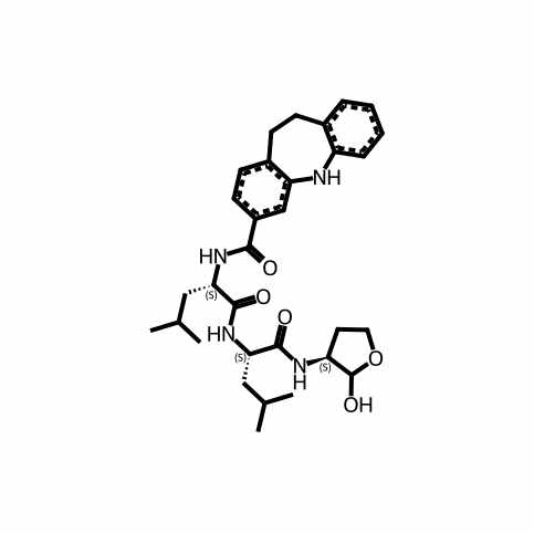 CC(C)C[C@H](NC(=O)c1ccc2c(c1)Nc1ccccc1CC2)C(=O)N[C@@H](CC(C)C)C(=O)N[C@H]1CCOC1O